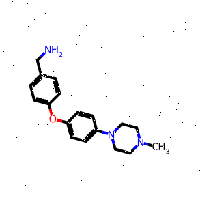 CN1CCN(c2ccc(Oc3ccc(CN)cc3)cc2)CC1